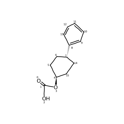 O=C(O)O[C@H]1CC[C@H](c2ccccc2)CC1